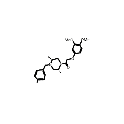 COc1ccc(OCC(=O)N2C[C@H](C)N(Cc3ccc(F)cc3)C[C@H]2C)cc1OC